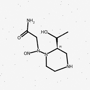 CC(O)[C@H]1CNCCN1N(CC(N)=O)N=O